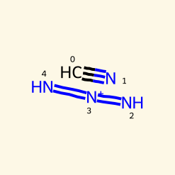 C#N.N=[N+]=N